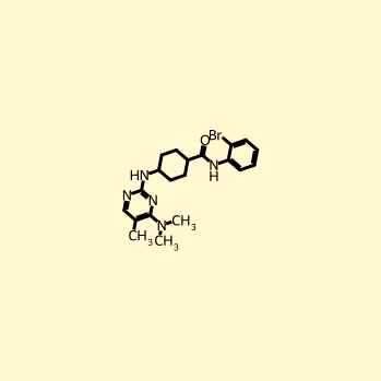 Cc1cnc(NC2CCC(C(=O)Nc3ccccc3Br)CC2)nc1N(C)C